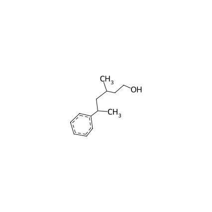 CC(CCO)CC(C)c1ccccc1